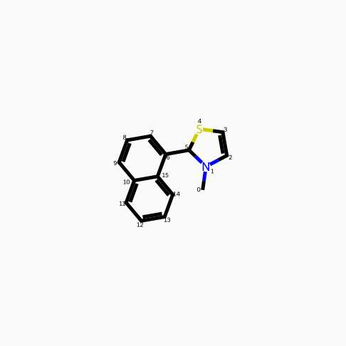 CN1C=CSC1c1cccc2ccccc12